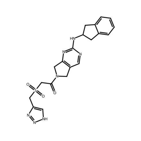 O=C(CS(=O)(=O)Cc1c[nH]nn1)N1Cc2cnc(NC3Cc4ccccc4C3)nc2C1